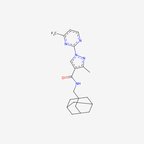 Cc1nn(-c2nccc(C(F)(F)F)n2)cc1C(=O)NCC12CC3CC(CC(C3)C1)C2